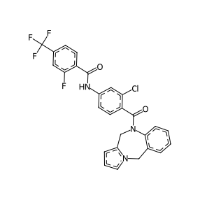 O=C(Nc1ccc(C(=O)N2Cc3cccn3Cc3ccccc32)c(Cl)c1)c1ccc(C(F)(F)F)cc1F